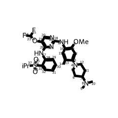 COc1cc(N2CCC(N(C)C)CC2)c(C)cc1Nc1ncc(OC(F)F)c(Nc2ccccc2S(=O)(=O)C(C)C)n1